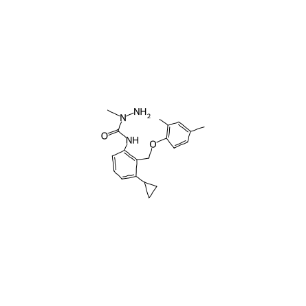 Cc1ccc(OCc2c(NC(=O)N(C)N)cccc2C2CC2)c(C)c1